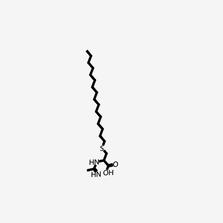 CCCCCCCCCCCCCCCCSCC(NC(C)=N)C(=O)O